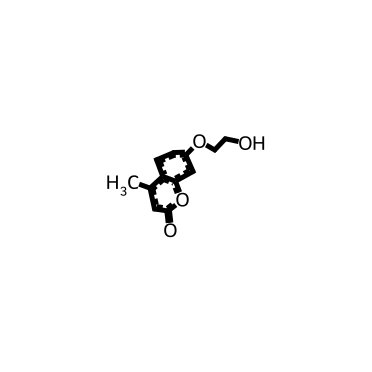 Cc1cc(=O)oc2cc(OCCO)ccc12